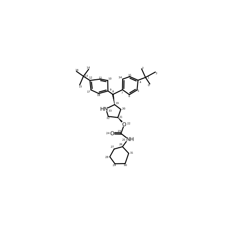 CC(C)(C)c1ccc(C(c2ccc(C(C)(C)C)cc2)[C@H]2C[C@@H](OC(=O)NC3CCCCC3)CN2)cc1